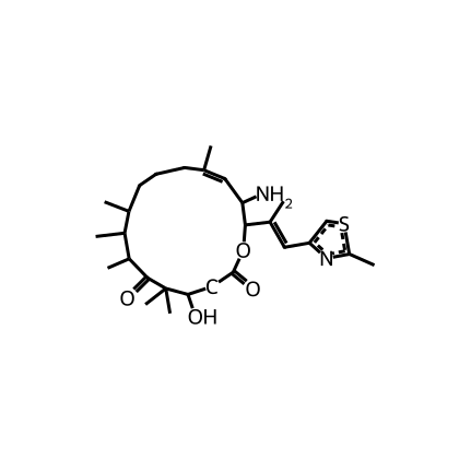 C/C1=C/C(N)C(/C(C)=C/c2csc(C)n2)OC(=O)CC(O)C(C)(C)C(=O)C(C)C(C)C(C)CCC1